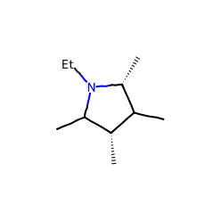 CCN1C(C)[C@@H](C)C(C)[C@H]1C